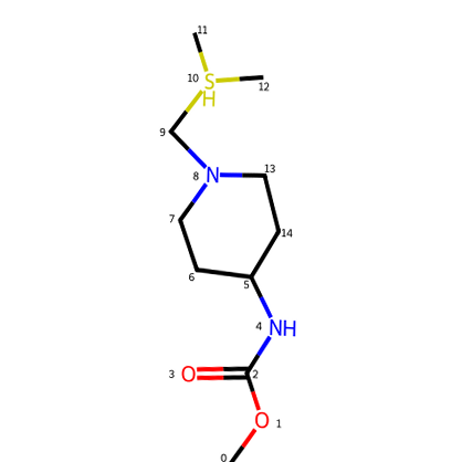 COC(=O)NC1CCN(C[SH](C)C)CC1